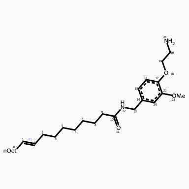 CCCCCCCC/C=C/CCCCCCCC(=O)NCc1ccc(OCCN)c(OC)c1